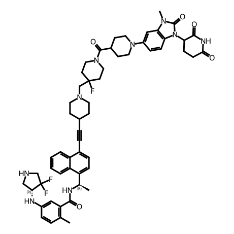 Cc1ccc(N[C@@H]2CNCC2(F)F)cc1C(=O)N[C@H](C)c1ccc(C#CC2CCN(CC3(F)CCN(C(=O)C4CCN(c5ccc6c(c5)n(C)c(=O)n6C5CCC(=O)NC5=O)CC4)CC3)CC2)c2ccccc12